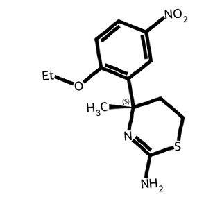 CCOc1ccc([N+](=O)[O-])cc1[C@]1(C)CCSC(N)=N1